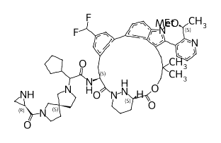 CCn1c(-c2cccnc2[C@H](C)OC)c2c3cc(ccc31)-c1cc(cc(C(F)F)c1)C[C@H](NC(=O)C(C1CCCC1)N1CC[C@]3(CCN(C(=O)[C@H]4CN4)C3)C1)C(=O)N1CCC[C@H](N1)C(=O)OCC(C)(C)C2